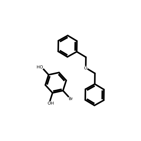 Oc1ccc(Br)c(O)c1.c1ccc(COCc2ccccc2)cc1